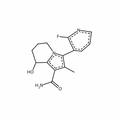 Cc1c(C(N)=O)c2n(c1-c1cccnc1F)CCCC2O